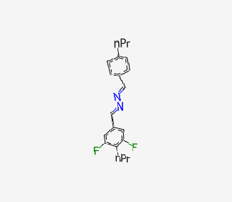 CCCc1ccc(/C=N/N=C/c2cc(F)c(CCC)c(F)c2)cc1